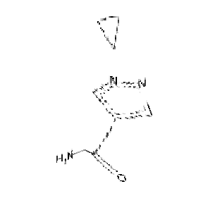 NC(=O)c1cnn(C2CC2)c1